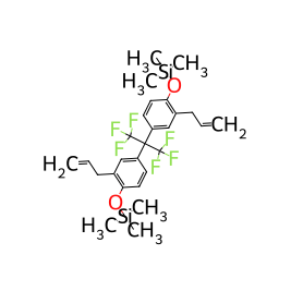 C=CCc1cc(C(c2ccc(O[Si](C)(C)C)c(CC=C)c2)(C(F)(F)F)C(F)(F)F)ccc1O[Si](C)(C)C